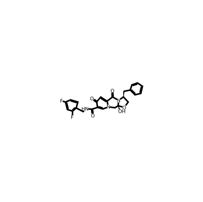 O=C(NCc1ccc(F)cc1F)c1cn2c(cc1=O)C(=O)N1[C@@H](Cc3ccccc3)CO[C@]1(O)C2